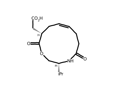 CC(C)[C@@H]1COC(=O)[C@H](CC(=O)O)CC=CCCC(=O)N1